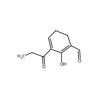 CCC(=O)C1=CCCC(C=O)=C1O